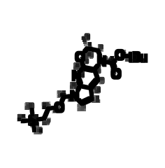 C[C@@H]1CN(C(=O)OC(C)(C)C)c2cc3ccn(COCC[Si](C)(C)C)c3nc2O1